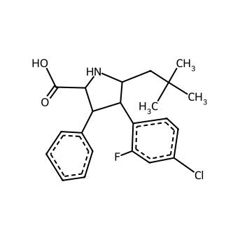 CC(C)(C)CC1NC(C(=O)O)C(c2ccccc2)C1c1ccc(Cl)cc1F